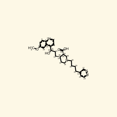 COc1ccc2nccc([C@H](O)CC[C@@H]3CCN(CCCCc4ccnnc4)C[C@@H]3C(=O)O)c2c1